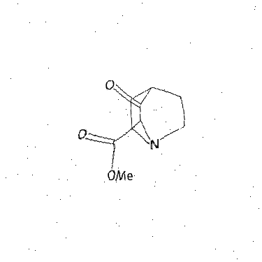 COC(=O)C1C(=O)C2CCN1CC2